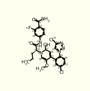 CCC[C@@H](C(=O)Nc1ccc(C(N)=O)c(F)c1)N1C=C(OC)C(c2cc(Cl)ccc2-n2cc(Cl)nn2)=CC1O